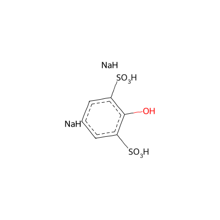 O=S(=O)(O)c1cccc(S(=O)(=O)O)c1O.[NaH].[NaH]